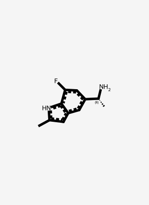 Cc1cc2cc([C@@H](C)N)cc(F)c2[nH]1